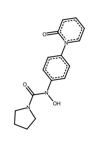 O=C(N1CCCC1)N(O)c1ccc(-n2ccccc2=O)cc1